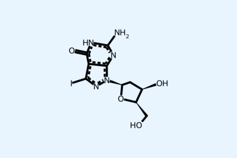 Nc1nc2c(c(I)nn2[C@H]2C[C@@H](O)[C@@H](CO)O2)c(=O)[nH]1